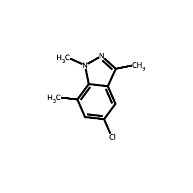 Cc1nn(C)c2c(C)cc(Cl)cc12